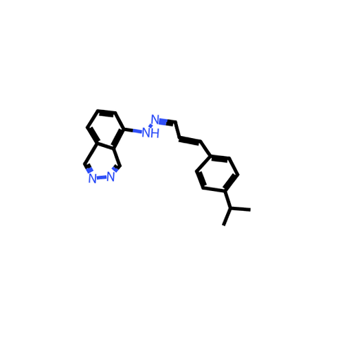 CC(C)c1ccc(/C=C/C=N\Nc2cccc3cnncc23)cc1